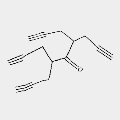 C#CCC(CC#C)C(=O)C(CC#C)CC#C